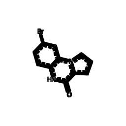 O=c1[nH]c2ccc(Br)cc2n2cccc12